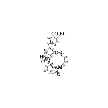 CCOC(=O)C1CCCN(Cc2cc3c4nc(c(=O)[nH]c4c2)-c2cccc4c(=O)n([nH]c24)CCCCCO3)C1